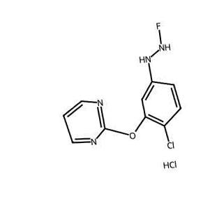 Cl.FNNc1ccc(Cl)c(Oc2ncccn2)c1